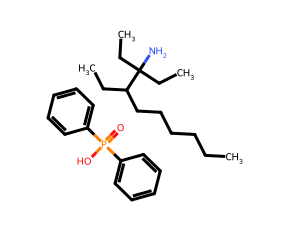 CCCCCCC(CC)C(N)(CC)CC.O=P(O)(c1ccccc1)c1ccccc1